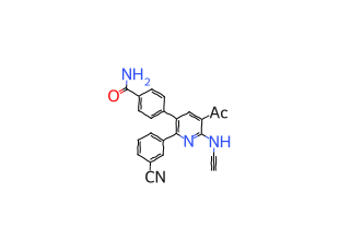 C#CNc1nc(-c2cccc(C#N)c2)c(-c2ccc(C(N)=O)cc2)cc1C(C)=O